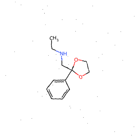 CCNCC1(c2ccccc2)OCCO1